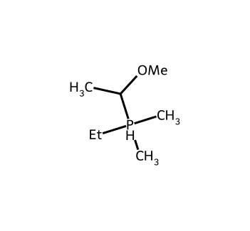 CC[PH](C)(C)C(C)OC